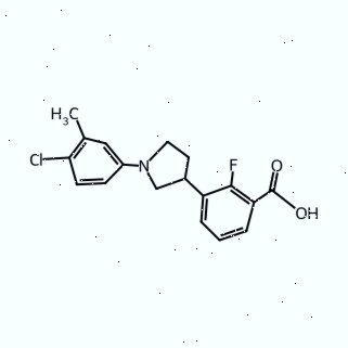 Cc1cc(N2CCC(c3cccc(C(=O)O)c3F)C2)ccc1Cl